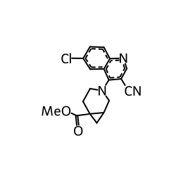 COC(=O)C12CCN(c3c(C#N)cnc4ccc(Cl)cc34)CC1C2